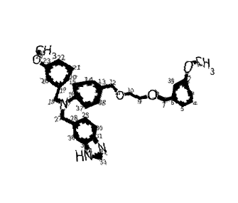 COc1cccc(COCCOCc2ccc(N(Cc3cccc(OC)c3)Cc3ccc4nc[nH]c4c3)cc2)c1